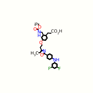 Cc1oc(-c2ccc(Nc3cc(F)cc(F)c3)cc2)nc1CCOc1ccc(CCC(=O)O)c(CNC(=O)OC(C)C)c1